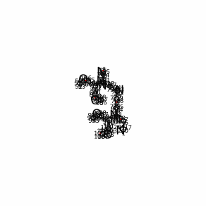 c1cncc(-c2cccc(-c3cc(-c4ccc(-c5ccc(-c6cncc(-c7ccc(-c8cc(-c9cccnc9)nc(-c9cc(-c%10ccc%11oc%12ccccc%12c%11c%10)cc(-c%10ccc%11oc%12ccccc%12c%11c%10)c9)n8)cc7)c6)cc5)cc4)nc(-c4cc(-c5ccc6oc7ccccc7c6c5)cc(-c5ccc6oc7ccccc7c6c5)c4)n3)c2)c1